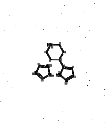 c1cc(C2CCNCC2)[nH]n1.c1ncon1